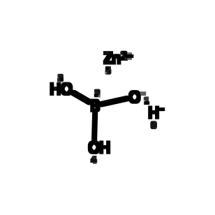 [H-].[O-]B(O)O.[Zn+2]